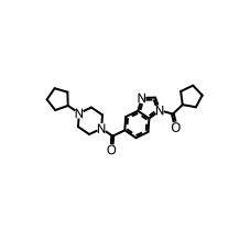 O=C(c1ccc2c(c1)ncn2C(=O)C1CCCC1)N1CCN(C2CCCC2)CC1